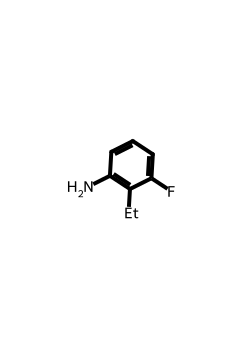 CCc1c(N)cccc1F